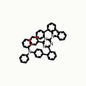 c1ccc(-c2nc(-c3ccccc3-c3ccc(N(c4ccccc4)c4ccccc4)cc3)nc(-n3c4ccccc4c4cccc(-c5ccccc5)c43)n2)cc1